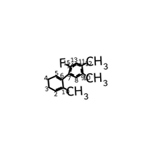 CC1=CCCC=C1c1cc(C)c(C)cc1F